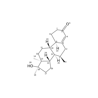 C[C@@H]1CC2=CC(=O)CC[C@@H]2[C@H]2CC[C@@]3(C)[C@@H](CC[C@@]3(C)O)[C@@H]21